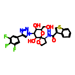 O=C(N[C@@H]1CCO[C@]12O[C@H](CO)[C@H](O)[C@H](n1cc(-c3cc(F)c(F)c(F)c3)nn1)[C@H]2O)c1csc2ccccc12